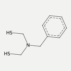 SCN(CS)Cc1ccccc1